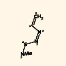 C=C/N=N\SNC